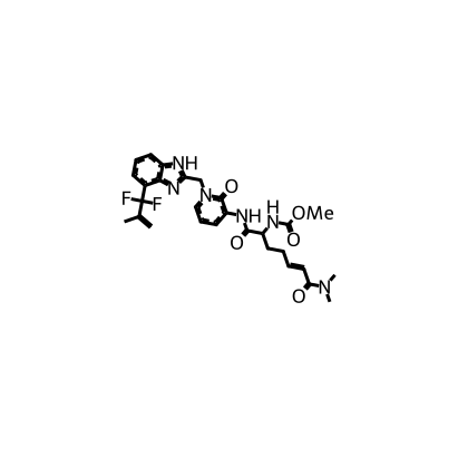 C=C(C)C(F)(F)c1cccc2[nH]c(Cn3cccc(NC(=O)C(CCC=CC(=O)N(C)C)NC(=O)OC)c3=O)nc12